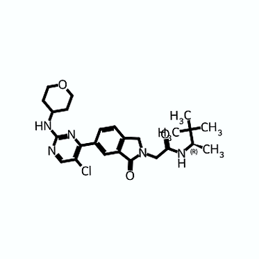 C[C@@H](NC(=O)CN1Cc2ccc(-c3nc(NC4CCOCC4)ncc3Cl)cc2C1=O)C(C)(C)C